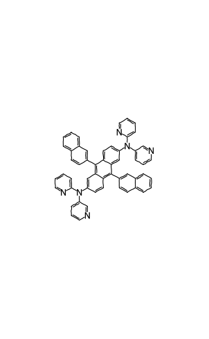 c1ccc(N(c2cccnc2)c2ccc3c(-c4ccc5ccccc5c4)c4cc(N(c5cccnc5)c5ccccn5)ccc4c(-c4ccc5ccccc5c4)c3c2)nc1